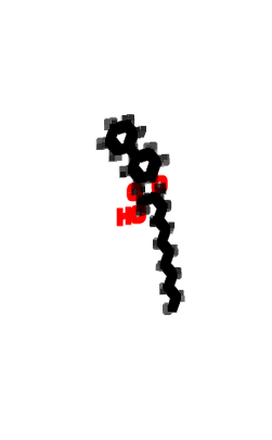 CCCCCCCCCCC(Oc1ccc(-c2ccccc2)cc1)C(=O)O